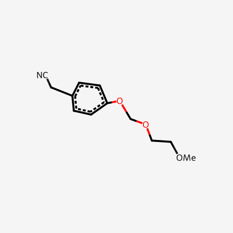 COCCOCOc1ccc(CC#N)cc1